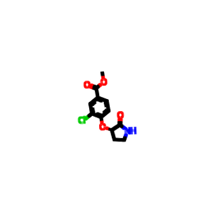 COC(=O)c1ccc(O[C@@H]2CCNC2=O)c(Cl)c1